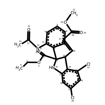 CCOC(=O)C1(c2ccccc2NC(C)=O)Nc2cc(Cl)cc(Cl)c2C1C=CC(=O)OC